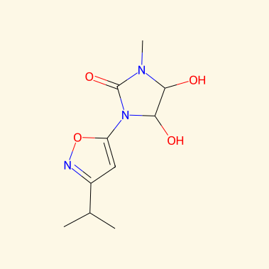 CC(C)c1cc(N2C(=O)N(C)C(O)C2O)on1